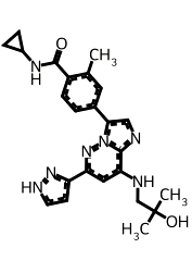 Cc1cc(-c2cnc3c(NCC(C)(C)O)cc(-c4cc[nH]n4)nn23)ccc1C(=O)NC1CC1